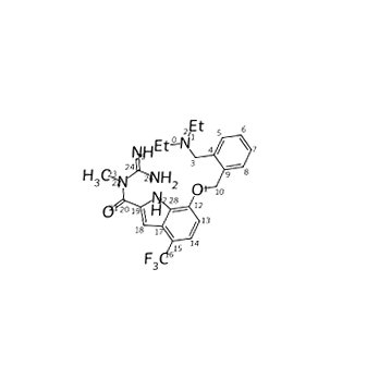 CCN(CC)Cc1ccccc1COc1ccc(C(F)(F)F)c2cc(C(=O)N(C)C(=N)N)[nH]c12